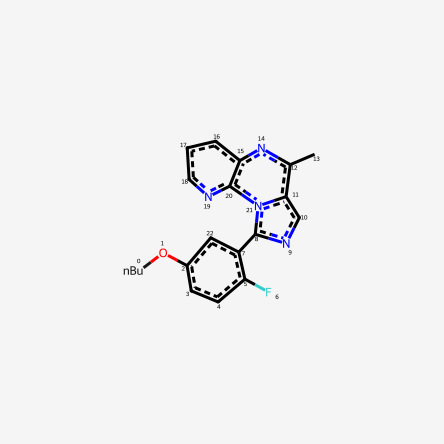 CCCCOc1ccc(F)c(-c2ncc3c(C)nc4cccnc4n23)c1